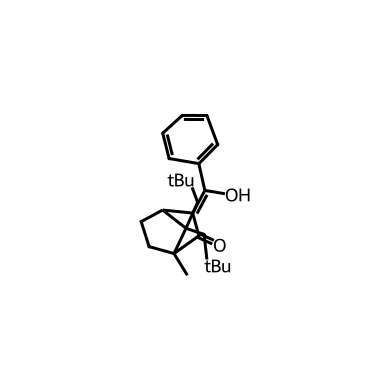 CC(C)(C)CC1(CC(C)(C)C)C2CCC1(C)C(=O)C2=C(O)c1ccccc1